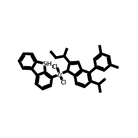 CCC(C)C1=Cc2c(ccc(C(C)C)c2-c2cc(C)cc(C)c2)[CH]1[Zr]([Cl])([Cl])[c]1cccc2c1[SiH2]c1ccccc1-2